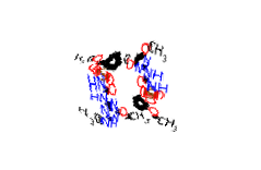 CCOc1ccccc1OS(=O)(=O)NC(=O)Nc1nc(OC)cc(OC)n1.CCOc1nc(NC)nc(NC(=O)NS(=O)(=O)c2ccccc2C(=O)OC)n1